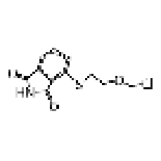 O=C1NC(=O)c2c(SCCOCCl)cccc21